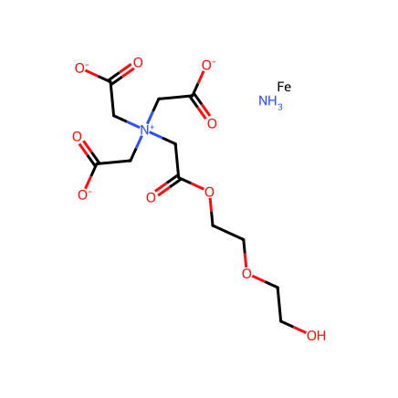 N.O=C([O-])C[N+](CC(=O)[O-])(CC(=O)[O-])CC(=O)OCCOCCO.[Fe]